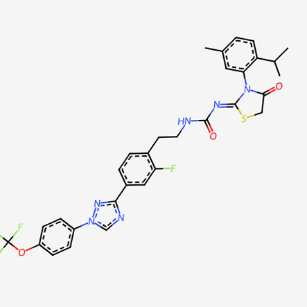 Cc1ccc(C(C)C)c(N2C(=O)CSC2=NC(=O)NCCc2ccc(-c3ncn(-c4ccc(OC(F)(F)F)cc4)n3)cc2F)c1